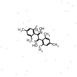 Cc1cc(C)c(C(=NO)C(=NO)c2c(C)cc(C)cc2C)c(C)c1